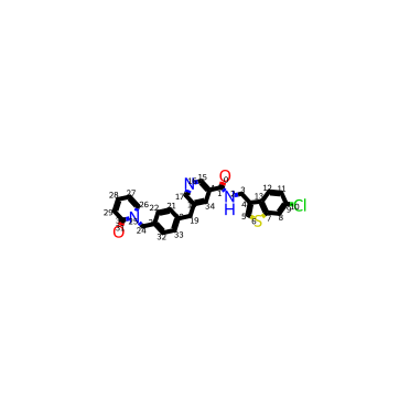 O=C(NCc1csc2cc(Cl)ccc12)c1cncc(Cc2ccc(Cn3ccccc3=O)cc2)c1